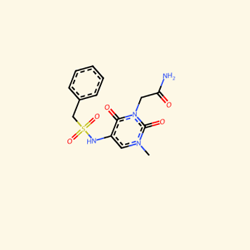 Cn1cc(NS(=O)(=O)Cc2ccccc2)c(=O)n(CC(N)=O)c1=O